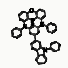 S=P12c3c4cccc3N(c3ccccc3)c3cc(-c5ccc6c7ccccc7n(-c7ccccc7)c6c5)cc(c31)N(c1ccccc1)c1cccc(c12)O4